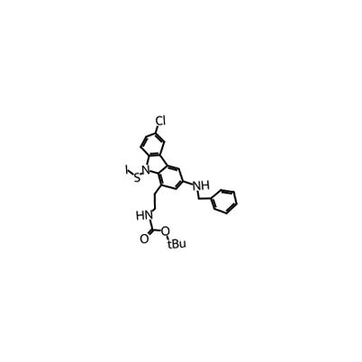 CC(C)(C)OC(=O)NCCc1cc(NCc2ccccc2)cc2c3cc(Cl)ccc3n(SI)c12